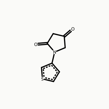 O=C1CC(=O)N(c2ccsc2)C1